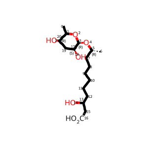 CC1O[C@@H](O[C@H](C)CCCCCCC(O)CC(=O)O)[C@@H](O)C[C@H]1O